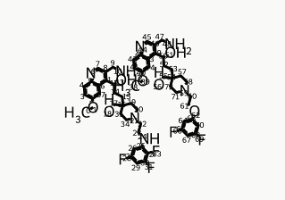 COc1ccc2ncc(CN)c(C(O)CCC3(CO)CCN(CCNc4cc(F)cc(F)c4F)CC3)c2c1.COc1ccc2ncc(CN)c(C(O)CCC3(CO)CCN(CCOc4cc(F)cc(F)c4)CC3)c2c1